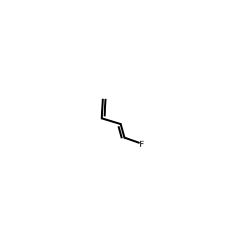 C=C/C=C/F